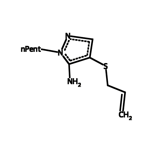 C=CCSc1cnn(CCCCC)c1N